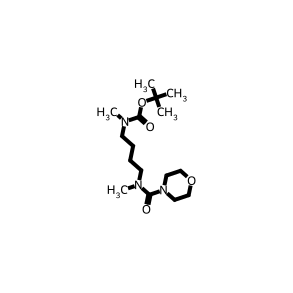 CN(CCCCN(C)C(=O)N1CCOCC1)C(=O)OC(C)(C)C